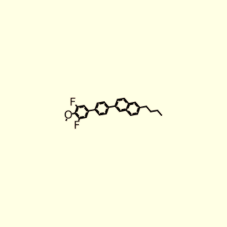 CCCCc1ccc2cc(-c3ccc(-c4cc(F)c(OC)c(F)c4)cc3)ccc2c1